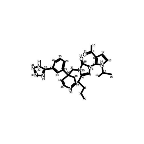 CCCCc1cn(-c2c(C(C)=O)ccn2C(C)C)c(=O)n1CC1(c2cccc(-c3nnn[nH]3)c2)C=CN=CC1